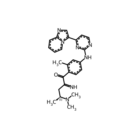 Cc1cc(Nc2nccc(-c3cnc4ccccn34)n2)ccc1C(=O)C(=N)C[C@H](C)N(C)C